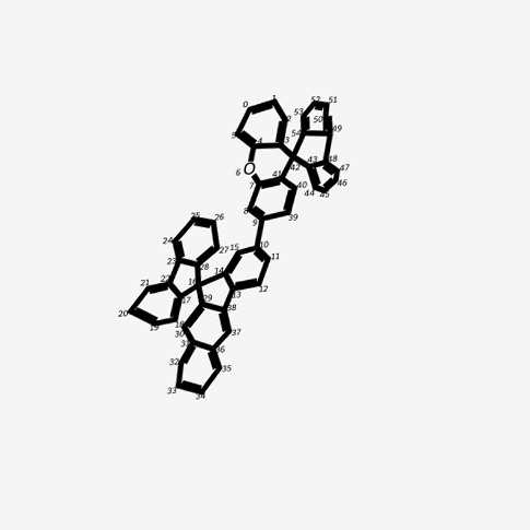 c1ccc2c(c1)Oc1cc(-c3ccc4c(c3)C3(c5ccccc5-c5ccccc53)c3cc5ccccc5cc3-4)ccc1C21c2ccccc2-c2ccccc21